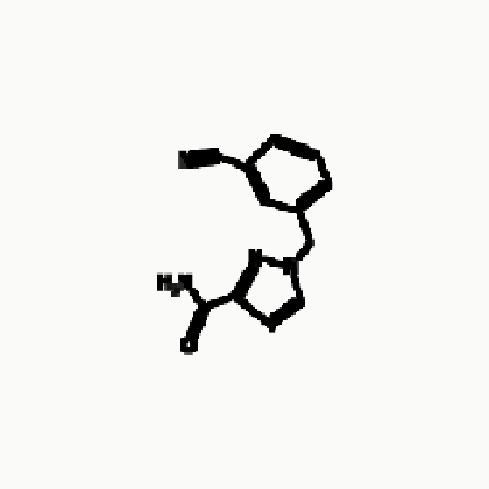 N#Cc1cccc(Cn2c[c]c(C(N)=O)n2)c1